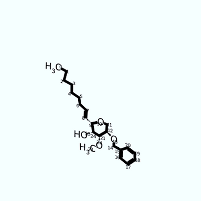 CCCCCCCC=C[C@@H]1OC[C@@H](OCc2ccccc2)[C@H](OC)[C@@H]1O